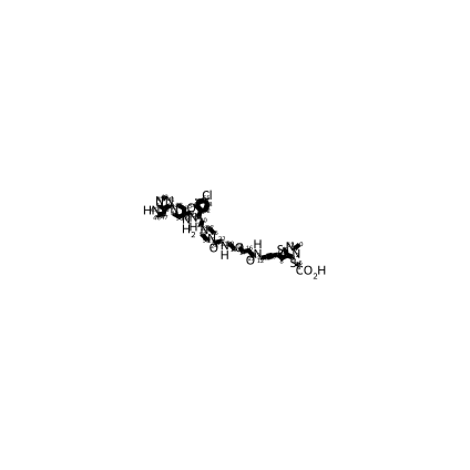 Cc1nc(SCC(=O)O)c2cc(C#CCNC(=O)CCOCCNCC(=O)N3CCN(CC[C@H](NC(=O)C4(N)CCN(c5ncnc6[nH]ccc56)CC4)c4ccc(Cl)cc4)CC3)sc2n1